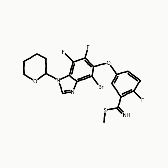 CSC(=N)c1cc(Oc2c(F)c(F)c3c(ncn3C3CCCCO3)c2Br)ccc1F